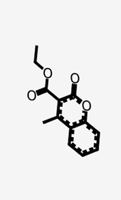 CCOC(=O)c1c(C)c2ccccc2oc1=O